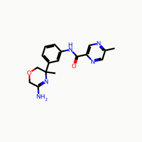 Cc1cnc(C(=O)Nc2cccc(C3(C)COCC(N)=N3)c2)cn1